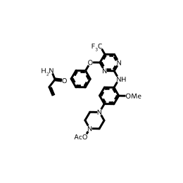 C=CC(N)=O.COc1cc(N2CCN(OC(C)=O)CC2)ccc1Nc1ncc(C(F)(F)F)c(Oc2ccccc2)n1